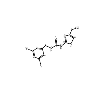 O=C(NCc1cc(F)cc(F)c1)Nc1nc(CCl)cs1